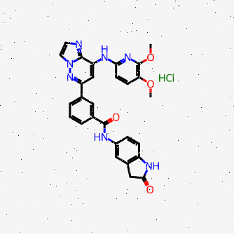 COc1ccc(Nc2cc(-c3cccc(C(=O)Nc4ccc5c(c4)CC(=O)N5)c3)nn3ccnc23)nc1OC.Cl